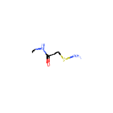 CNC(=O)CSN